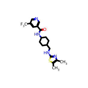 Cc1nc(NCC2CCC(NC(=O)c3cncc(C(F)(F)F)c3)CC2)sc1C